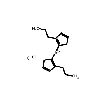 CCCC1=[C]([Ti+2][C]2=C(CCC)C=CC2)CC=C1.[Cl-].[Cl-]